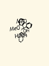 COc1ccccc1C(O)(C[C@H]1C[C@H]2CCC[C@@H](C1)N2C)c1ccccc1OC